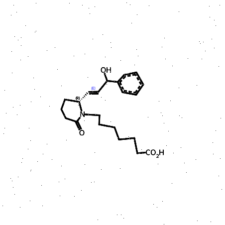 O=C(O)CCCCCCN1C(=O)CCC[C@@H]1/C=C/C(O)c1ccccc1